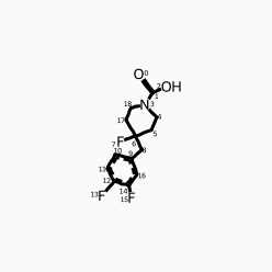 O=C(O)N1CCC(F)(Cc2ccc(F)c(F)c2)CC1